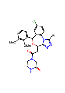 COc1cccc(C2OC(CC(=O)N3CCNC(=O)C3)c3nnc(C(C)C)n3-c3ccc(Cl)cc32)c1OC